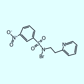 O=[N+]([O-])c1cccc(S(=O)(=O)N(Br)CCc2ccccn2)c1